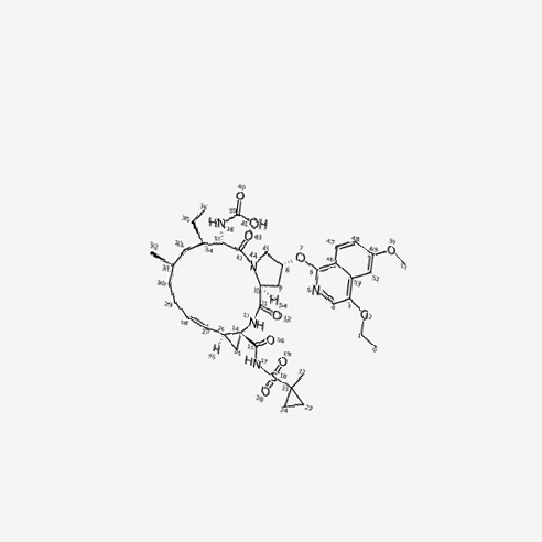 CCOc1cnc(O[C@@H]2C[C@H]3C(=O)N[C@]4(C(=O)NS(=O)(=O)C5(C)CC5)C[C@H]4C=CCC[C@@H](C)C[C@@H](CC)[C@H](NC(=O)O)C(=O)N3C2)c2ccc(OC)cc12